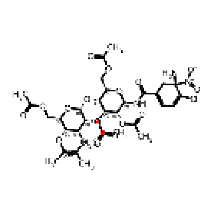 CC(=O)OC[C@H]1O[C@@H](NC(=O)C2=CC=C(Cl)C(N)([N+](=O)[O-])C2)[C@H](OC(C)=O)[C@@H](OC(C)=O)[C@@H]1O[C@H]1O[C@H](COC(C)=O)[C@@H](OC(C)=O)[C@H](OC(C)=O)[C@H]1OC(C)=O